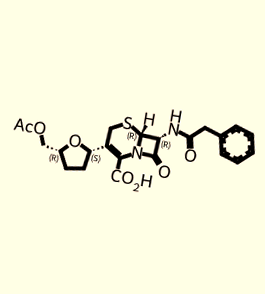 CC(=O)OC[C@H]1CC[C@@H](C2=C(C(=O)O)N3C(=O)[C@@H](NC(=O)Cc4ccccc4)[C@H]3SC2)O1